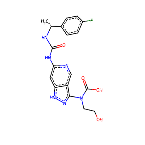 C[C@@H](NC(=O)Nc1cc2[nH]nc(N(CCO)C(=O)O)c2cn1)c1ccc(F)cc1